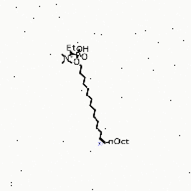 CCCCCCCC/C=C\CCCCCCCCCCCCCOP(=O)(O)C(CC)[N+](C)(C)C